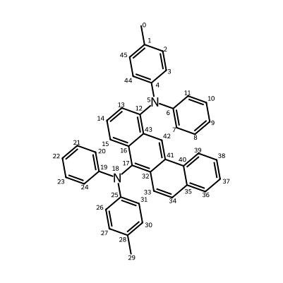 Cc1ccc(N(c2ccccc2)c2cccc3c(N(c4ccccc4)c4ccc(C)cc4)c4ccc5ccccc5c4cc23)cc1